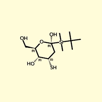 CC(C)(C)[Si](C)(C)[C@@]1(O)C[C@H](S)[C@H](O)[C@@H](CO)O1